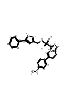 FC(F)(F)Oc1ccc(-c2ccc3nnc(C(F)(F)OCc4cc(-c5ccccc5)on4)n3c2)cc1